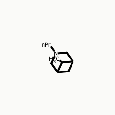 CCCN1CC2CC(C1)C2C